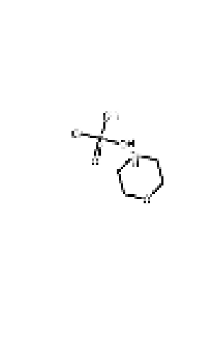 C1COCCN1.O=P(O)(O)Cl